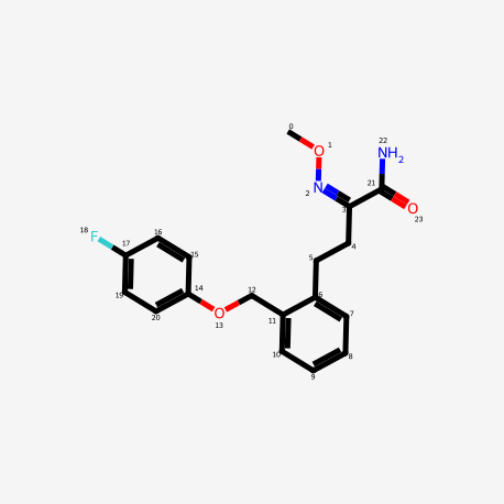 CON=C(CCc1ccccc1COc1ccc(F)cc1)C(N)=O